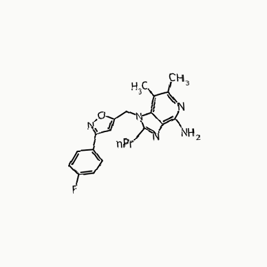 CCCc1nc2c(N)nc(C)c(C)c2n1Cc1cc(-c2ccc(F)cc2)no1